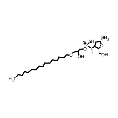 B[C@H]1CC(NP(=O)(S)OCC(O)COCCCCCCCCCCCCCCCC)[C@@H](CO)O1